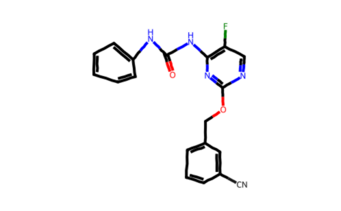 N#Cc1cccc(COc2ncc(F)c(NC(=O)Nc3ccccc3)n2)c1